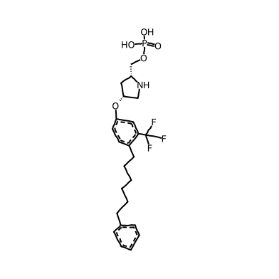 O=P(O)(O)OC[C@H]1C[C@@H](Oc2ccc(CCCCCCc3ccccc3)c(C(F)(F)F)c2)CN1